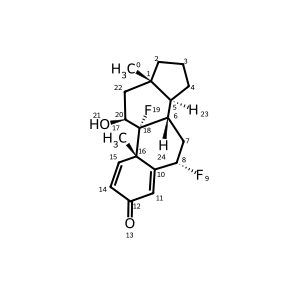 C[C@@]12CCC[C@H]1[C@@H]1C[C@H](F)C3=CC(=O)C=C[C@]3(C)[C@@]1(F)[C@@H](O)C2